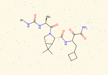 CC(C)NC(=O)N[C@H](C(=O)N1CC2C([C@H]1C(=O)NC(CC1CCC1)C(=O)C(N)=O)C2(C)C)C(C)(C)C